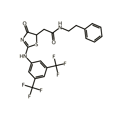 O=C(CC1SC(Nc2cc(C(F)(F)F)cc(C(F)(F)F)c2)=NC1=O)NCCc1ccccc1